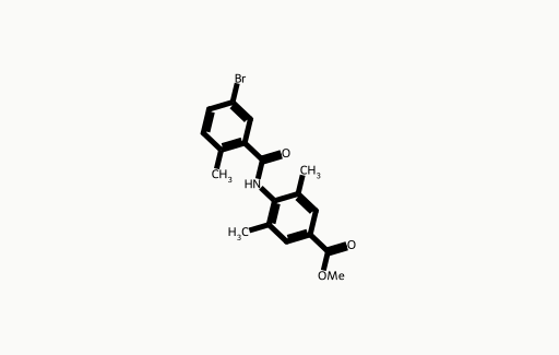 COC(=O)c1cc(C)c(NC(=O)c2cc(Br)ccc2C)c(C)c1